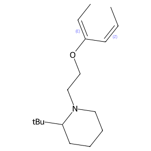 C/C=C\C(=C/C)OCCN1CCCCC1C(C)(C)C